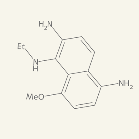 CCNc1c(N)ccc2c(N)ccc(OC)c12